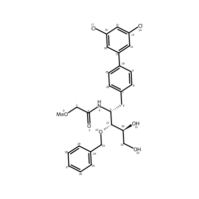 COCC(=O)N[C@H](Cc1ccc(-c2cc(Cl)cc(Cl)c2)cc1)[C@@H](OCc1ccccc1)[C@@H](O)CO